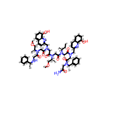 CC[C@H](C)N(CC(=O)N(CC(=O)N(CC(N)=O)[C@@H](C)c1ccccc1)Cc1ccc2cccc(O)c2n1)C(=O)CN(C(=O)CN(Cc1ccc2cccc(O)c2n1)C(=O)CN(C(=O)CN[C@@H](C)c1ccccc1)[C@@H](C)COC)[C@@H](C)COC